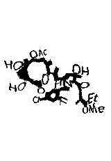 CC[C@H](OC)[C@@H](C)C1OC1C(NCc1ccc(Cl)cc1F)C(C)(O)/C=C/C=C(\C)[C@H]1OC(=O)CC(O)CCC(C)(O)[C@@H](OC(C)=O)/C=C/C1C